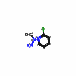 Brc1ccccn1.NNC=O